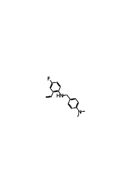 C=Cc1cc(F)ccc1NCc1ccc(N(C)C)cc1